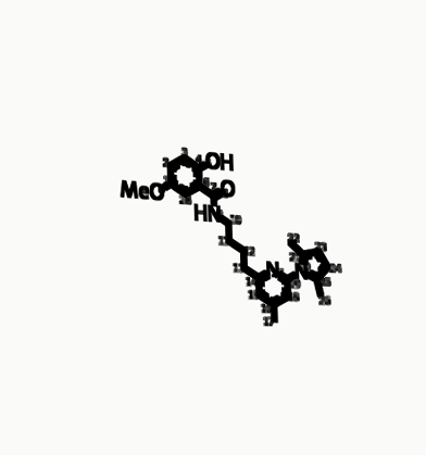 COc1ccc(O)c(C(=O)NCCCCc2cc(C)cc(-n3c(C)ccc3C)n2)c1